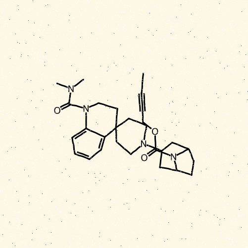 CC#CCOC(=O)N1C2CCC1CC(N1CCC3(CCN(C(=O)N(C)C)c4ccccc43)CC1)C2